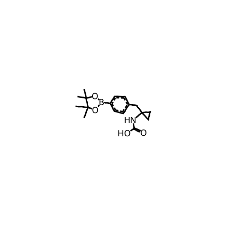 CC1(C)OB(c2ccc(CC3(NC(=O)O)CC3)cc2)OC1(C)C